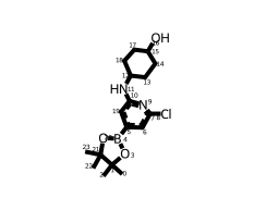 CC1(C)OB(c2cc(Cl)nc(NC3CCC(O)CC3)c2)OC1(C)C